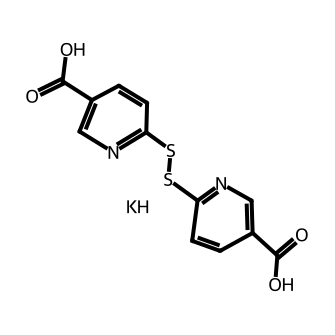 O=C(O)c1ccc(SSc2ccc(C(=O)O)cn2)nc1.[KH]